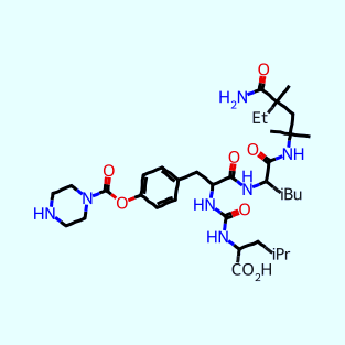 CCC(C)C(NC(=O)C(Cc1ccc(OC(=O)N2CCNCC2)cc1)NC(=O)NC(CC(C)C)C(=O)O)C(=O)NC(C)(C)CC(C)(CC)C(N)=O